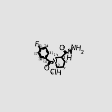 Cl.NNC(=O)C1CCCN(C(=O)c2ccc(F)cc2)C1